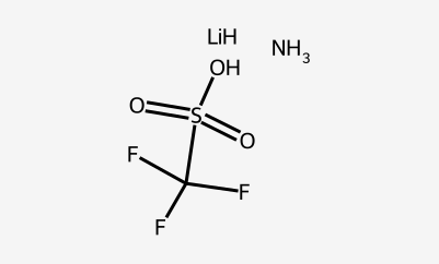 N.O=S(=O)(O)C(F)(F)F.[LiH]